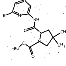 CC1(C)CC(C(=O)Nc2cccc(Br)n2)N(C(=O)OC(C)(C)C)C1